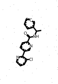 CC(NC(=O)c1ccc(-c2ncccc2Cl)cn1)c1ccccc1